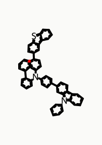 c1ccc(-c2ccccc2N(c2ccc(-c3ccc4sc5ccccc5c4c3)cc2)c2ccc(-c3ccc4c5ccccc5n(-c5ccccc5)c4c3)cc2)cc1